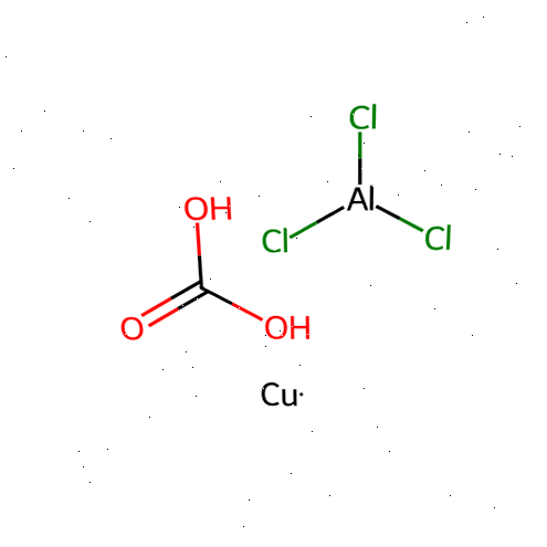 O=C(O)O.[Cl][Al]([Cl])[Cl].[Cu]